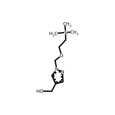 C[Si](C)(C)CCOCn1cc(CO)cn1